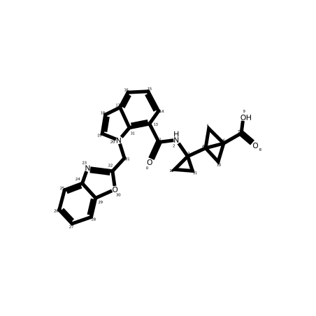 O=C(NC1(C23CC2(C(=O)O)C3)CC1)c1cccc2ccn(Cc3nc4ccccc4o3)c12